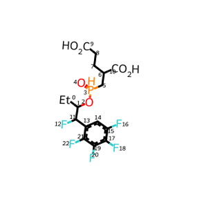 CCC(O[PH](=O)CC(CCC(=O)O)C(=O)O)C(F)c1cc(F)c(F)c(F)c1F